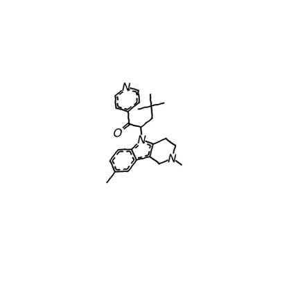 Cc1ccc2c(c1)c1c(n2C(CC(C)(C)C)C(=O)c2ccncc2)CCN(C)C1